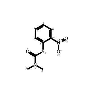 CN(C)C(=O)Sc1ccccc1[N+](=O)[O-]